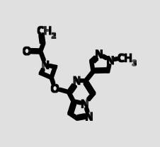 C=CC(=O)N1CC(Oc2nc(-c3cnn(C)c3)cn3nccc23)C1